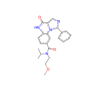 COCCN(C(=O)c1ccc2[nH]c(=O)c3cnc(-c4ccccc4)n3c2c1)C(C)C